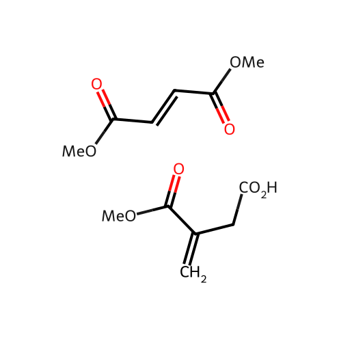 C=C(CC(=O)O)C(=O)OC.COC(=O)C=CC(=O)OC